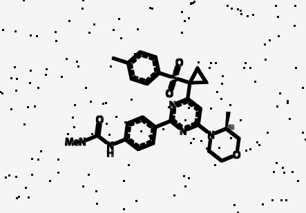 CNC(=O)Nc1ccc(-c2nc(N3CCOC[C@@H]3C)cc(C3(S(=O)(=O)c4ccc(C)cc4)CC3)n2)cc1